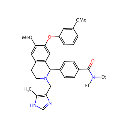 CCN(CC)C(=O)c1ccc(C2c3cc(Oc4cccc(OC)c4)c(OC)cc3CCN2Cc2nc[nH]c2C)cc1